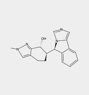 Cn1cc2c(n1)[C@H](O)[C@@H]([C@@H]1c3ccccc3-c3cncn31)CC2